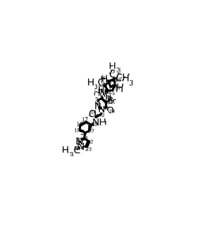 C[C@@H]1[C@H]2C[C@@H](C[C@H]1Nc1cnn(CC(=O)Nc3cccc(-c4ccn(C)n4)c3)c(=O)c1Br)C2(C)C